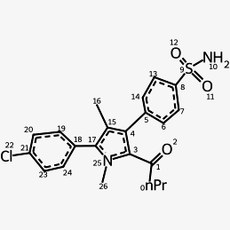 CCCC(=O)c1c(-c2ccc(S(N)(=O)=O)cc2)c(C)c(-c2ccc(Cl)cc2)n1C